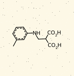 Cc1cccc(NCC(C(=O)O)C(=O)O)c1